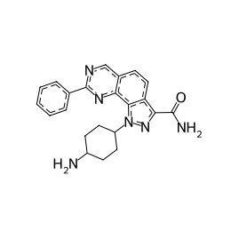 NC(=O)c1nn(C2CCC(N)CC2)c2c1ccc1cnc(-c3ccccc3)nc12